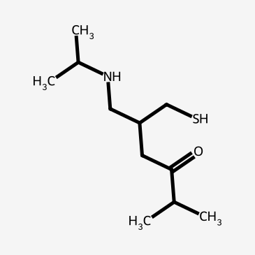 CC(C)NCC(CS)CC(=O)C(C)C